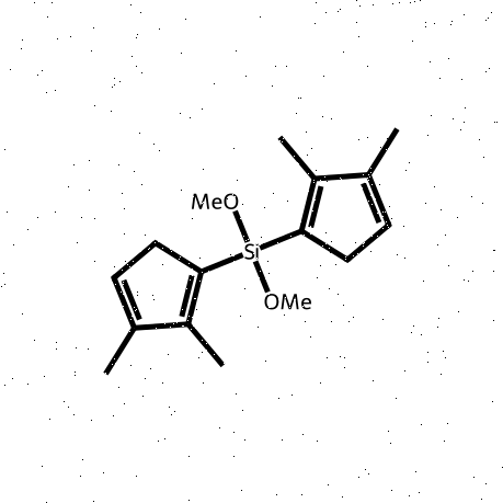 CO[Si](OC)(C1=C(C)C(C)=CC1)C1=C(C)C(C)=CC1